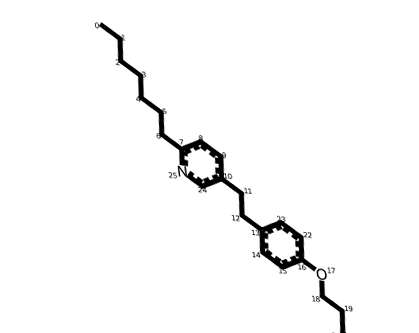 CCCCCCCc1ccc(CCc2ccc(OCCCC)cc2)cn1